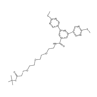 CSc1ncc(-c2cc(C(=O)NCCOCCOCCOCCC(=O)OC(C)(C)C)cc(-c3cnc(SC)nc3)n2)cn1